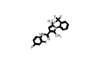 Cc1cc(C(=O)Nc2ccc(F)cc2F)c(C)n1-c1ccccc1C(F)(F)F